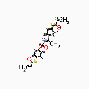 C=CC(=O)Sc1ccc(OC(=O)/C=C(\C)c2ccc(SC(=O)C=C)cc2)cc1